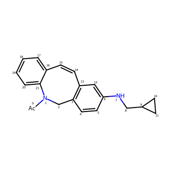 CC(=O)N1Cc2ccc(NCC3CC3)cc2/C=C\c2ccccc21